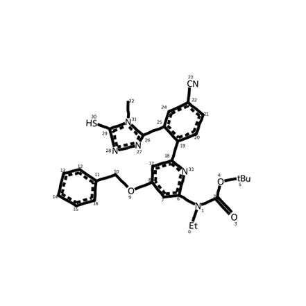 CCN(C(=O)OC(C)(C)C)c1cc(OCc2ccccc2)cc(-c2ccc(C#N)cc2-c2nnc(S)n2C)n1